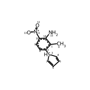 Cc1c([SH]2C=CC=C2)ccc([N+](=O)[O-])c1N